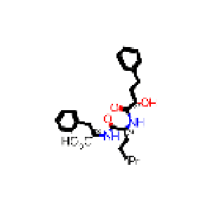 CC(C)CC[C@H](NC(=O)[C@@H](O)CCc1ccccc1)C(=O)N[C@@H](Cc1ccccc1)C(=O)O